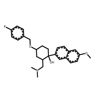 COc1ccc2cc(C3(O)CCC(OCc4ccc(F)cc4)CC3CN(C)C)ccc2c1